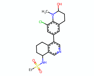 CCS(=O)(=O)NC1CCCc2c(-c3cc(Cl)c4c(c3)CCC(O)N4C)cncc21